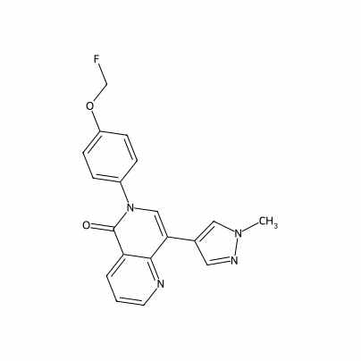 Cn1cc(-c2cn(-c3ccc(OCF)cc3)c(=O)c3cccnc23)cn1